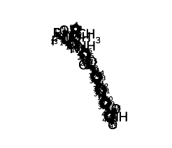 CC1(O)CCCC1n1c(=O)c(C(F)F)cc2cnc(NC3CCN(S(=O)(=O)CCN4CCC(N5CCN(c6ccc(C7CCC(=O)NC7=O)cc6)CC5)CC4)CC3)nc21